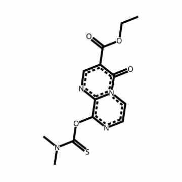 CCOC(=O)c1cnc2c(OC(=S)N(C)C)nccn2c1=O